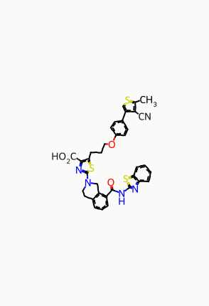 Cc1scc(-c2ccc(OCCCc3sc(N4CCc5cccc(C(=O)Nc6nc7ccccc7s6)c5C4)nc3C(=O)O)cc2)c1C#N